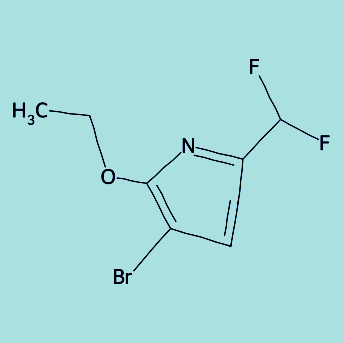 CCOc1nc(C(F)F)ccc1Br